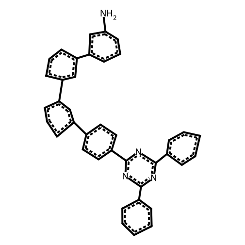 Nc1cccc(-c2cccc(-c3cccc(-c4ccc(-c5nc(-c6ccccc6)nc(-c6ccccc6)n5)cc4)c3)c2)c1